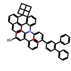 CC(C)(C)c1ccc(N(c2ccc(-c3ccc(-c4ccccc4)c(-c4ccccc4)c3)cc2)c2ccccc2-c2cccc3cccc(C45CC6CC7CC(C4)C765)c23)c(-c2ccccc2)c1